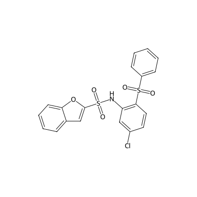 O=S(=O)(Nc1cc(Cl)ccc1S(=O)(=O)c1ccccc1)c1cc2ccccc2o1